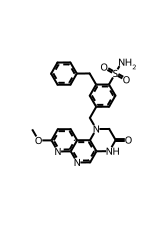 COc1ccc2c3c(cnc2n1)NC(=O)CN3Cc1ccc(S(N)(=O)=O)c(Cc2ccccc2)c1